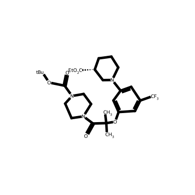 CCOC(=O)[C@@H]1CCCN(c2cc(OC(C)(C)C(=O)N3CCN(C(=O)OC(C)(C)C)CC3)cc(C(F)(F)F)c2)C1